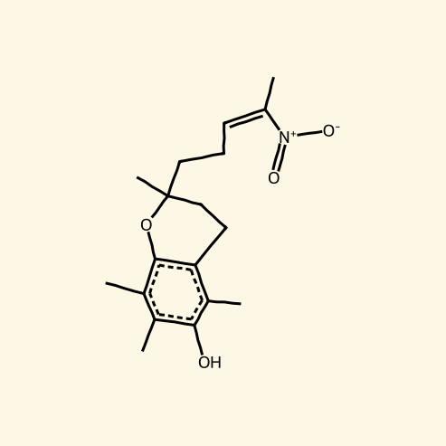 CC(=CCCC1(C)CCc2c(C)c(O)c(C)c(C)c2O1)[N+](=O)[O-]